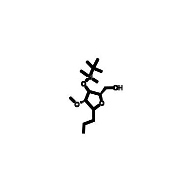 CCCC1O[C@H](CO)C(O[Si](C)(C)C(C)(C)C)[C@H]1OC